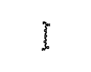 CC(C)NCCOCCOCCOCCC(=O)C(C)C